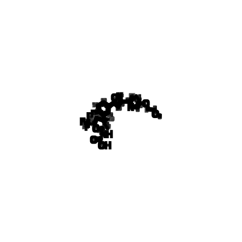 COCCOc1cnc(-c2cc(-c3ccc(F)c([C@]4(C)C[C@@H](C(F)(F)F)OC(NC(=O)O)=N4)c3)on2)cn1